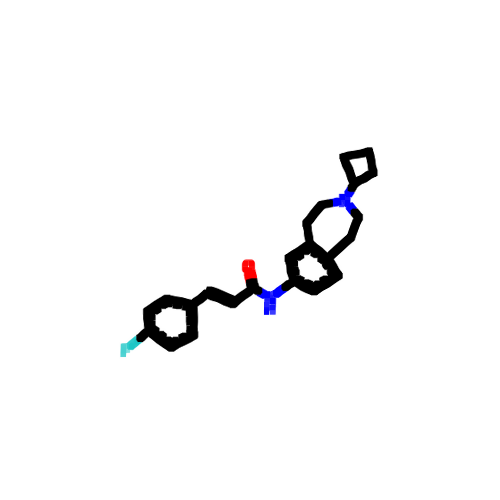 O=C(C=Cc1ccc(F)cc1)Nc1ccc2c(c1)CCN(C1CCC1)CC2